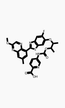 COc1cnc2c(-c3nc4cc(F)c(OC(C)C(C)OC(=O)Nc5ccc(C(=O)O)nc5)cc4s3)cc(C)cc2n1